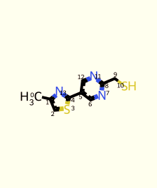 Cc1csc(-c2cnc(CS)nc2)n1